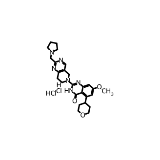 COc1cc(C2CCOCC2)c2c(=O)[nH]c(N3CCc4nc(CN5CCCC5)ncc4C3)nc2c1.Cl.Cl